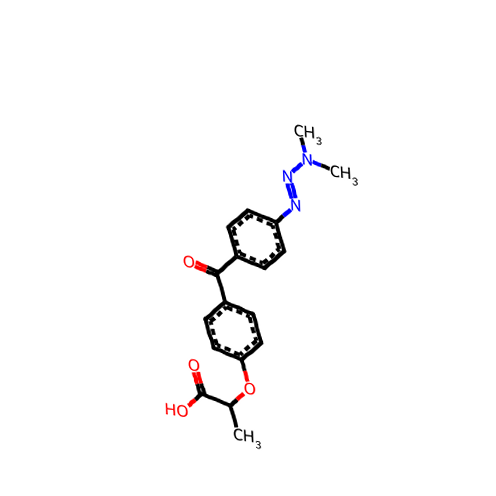 CC(Oc1ccc(C(=O)c2ccc(/N=N/N(C)C)cc2)cc1)C(=O)O